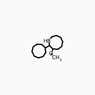 COC1CCCCCCBC1C1CCCCCCCC1